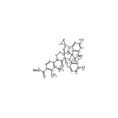 COC(=O)c1ccc(N2CC[C@H]3[C@@H](C2=O)[C@H](c2ccnc(Cl)c2F)[C@]2(C(=O)Nc4cc(Cl)ccc42)N3CC2CC2)c([N+](=O)[O-])c1C